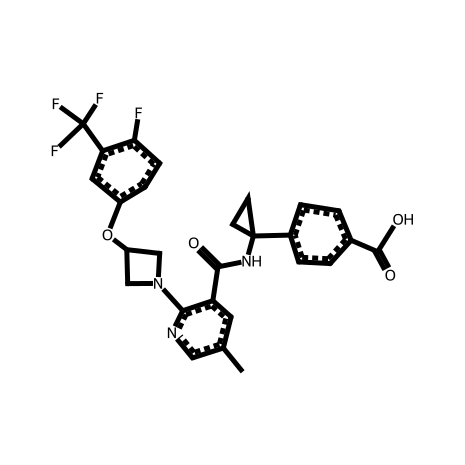 Cc1cnc(N2CC(Oc3ccc(F)c(C(F)(F)F)c3)C2)c(C(=O)NC2(c3ccc(C(=O)O)cc3)CC2)c1